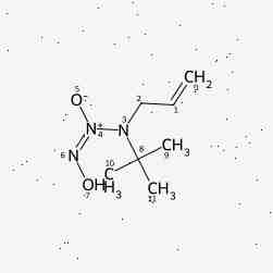 C=CCN(/[N+]([O-])=N\O)C(C)(C)C